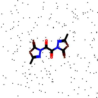 Cc1nn(C(=O)C(=O)n2nc(C)sc2=S)c(=S)s1